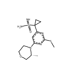 CSc1nc(N2CCOC[C@H]2C)cc(C2(S(=N)(N)=O)CC2)n1